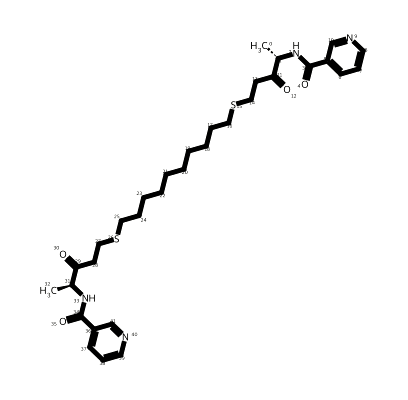 C[C@H](NC(=O)c1cccnc1)C(=O)CCSCCCCCCCCCCSCCC(=O)[C@H](C)NC(=O)c1cccnc1